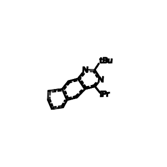 CC(C)c1nc(C(C)(C)C)nc2cc3ccccc3cc12